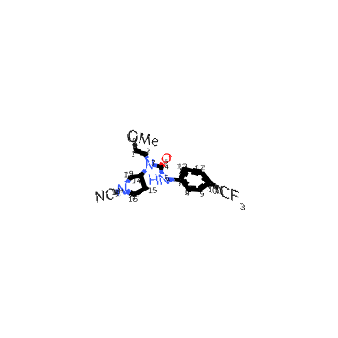 COCCN(C(=O)Nc1ccc(C(F)(F)F)cc1)C1CCN(C#N)C1